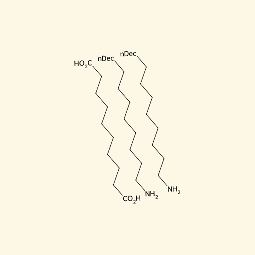 CCCCCCCCCCCCCCCCCCN.CCCCCCCCCCCCCCCCCCN.O=C(O)CCCCCCCCC(=O)O